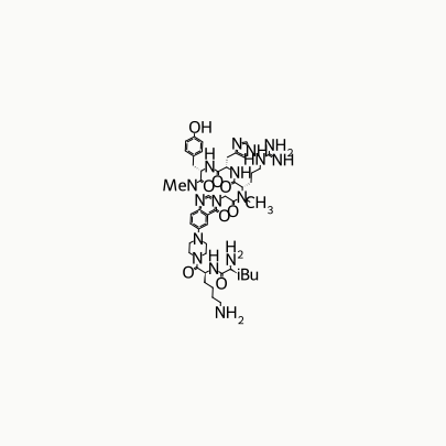 CC[C@H](C)[C@H](N)C(=O)N[C@@H](CCCCN)C(=O)N1CCN(c2ccc3ncn(CC(=O)N(C)[C@@H](CCCNC(=N)N)C(=O)N[C@@H](Cc4c[nH]cn4)C(=O)N[C@@H](Cc4ccc(O)cc4)C(=O)NC)c(=O)c3c2)CC1